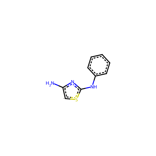 Nc1[c]sc(Nc2ccccc2)n1